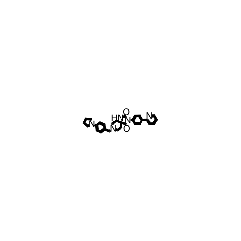 O=C1NC2(CCN(Cc3ccc(N4CCCC4)cc3)CC2)C(=O)N1c1ccc(-c2ccccn2)cc1